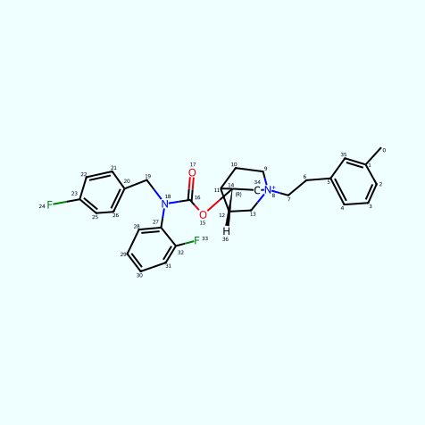 Cc1cccc(CC[N+]23CCC(CC2)[C@@H](OC(=O)N(Cc2ccc(F)cc2)c2ccccc2F)C3)c1